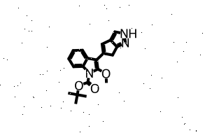 COc1c(C2=Cc3c[nH]nc3C2)c2ccccc2n1C(=O)OC(C)(C)C